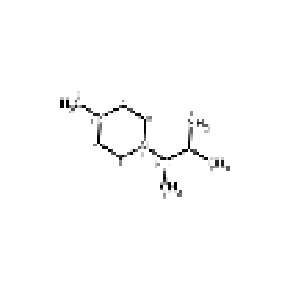 CC(N)[C@@H](C)N1CCN(C)CC1